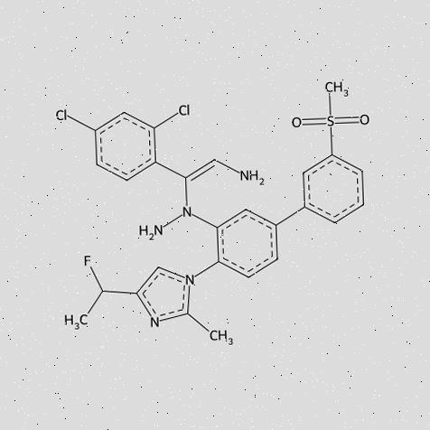 Cc1nc(C(C)F)cn1-c1ccc(-c2cccc(S(C)(=O)=O)c2)cc1N(N)/C(=C\N)c1ccc(Cl)cc1Cl